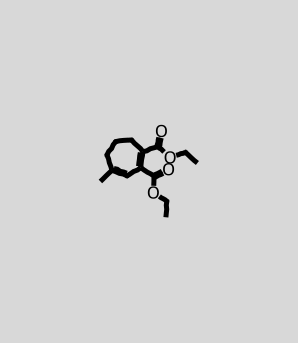 CCOC(=O)C1=C(C(=O)OCC)CCCC(C)=C1